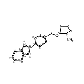 N[C@H]1CCC[C@@H]1OCc1ccc(-c2nc3ccccc3o2)cc1